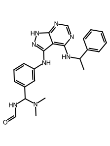 CC(Nc1ncnc2[nH]nc(Nc3cccc(C(NC=O)N(C)C)c3)c12)c1ccccc1